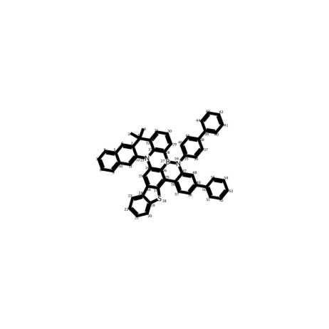 CC1(C)c2cc3ccccc3cc2N2c3cc4c(sc5ccccc54)c4c3B(c3cccc1c32)N(c1ccc(-c2ccccc2)cc1)c1cc(-c2ccccc2)ccc1-4